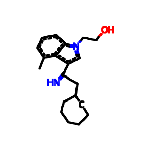 Cc1cccc2c1c(C(=N)CC1CCCCCC1)cn2CCO